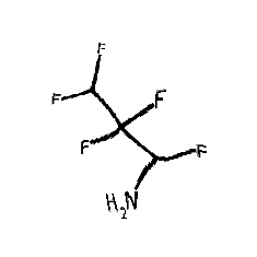 NC(F)C(F)(F)C(F)F